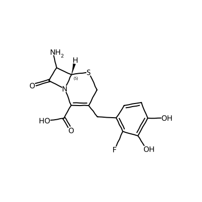 NC1C(=O)N2C(C(=O)O)=C(Cc3ccc(O)c(O)c3F)CS[C@@H]12